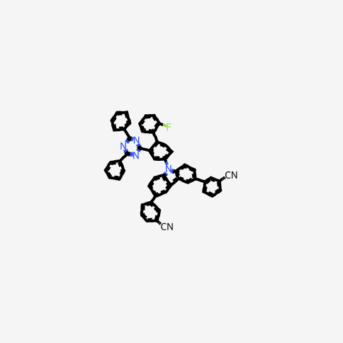 N#Cc1cccc(-c2ccc3c(c2)c2cc(-c4cccc(C#N)c4)ccc2n3-c2ccc(-c3ccccc3F)c(-c3nc(-c4ccccc4)nc(-c4ccccc4)n3)c2)c1